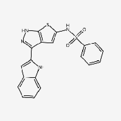 O=S(=O)(Nc1cc2c(-c3cc4ccccc4[nH]3)n[nH]c2s1)c1ccccc1